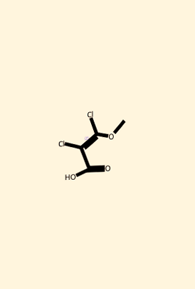 CO/C(Cl)=C(/Cl)C(=O)O